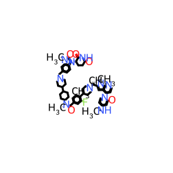 CNc1ccn(-c2ccnc3c2cc([C@H](C)N2CC=C(c4c(C)cc(C(=O)N(C)C5CCC(C6CCN(Cc7ccc8c(c7)n(C)c(=O)n8C7CCC(=O)NC7=O)CC6)CC5)cc4F)CC2)n3C)c(=O)c1